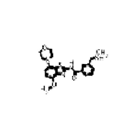 CNCc1cccc(C(=O)Nc2nc3c(OC)ccc(N4CCOCC4)c3s2)c1